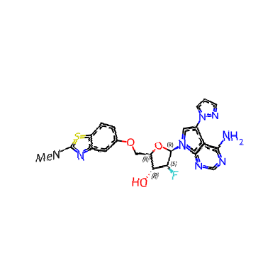 CNc1nc2cc(OC[C@H]3O[C@@H](n4cc(-n5cccn5)c5c(N)ncnc54)[C@@H](F)[C@@H]3O)ccc2s1